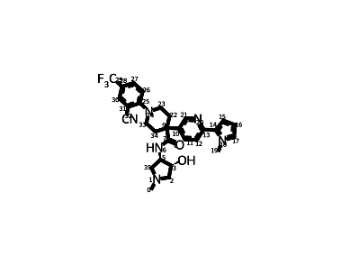 CN1C[C@@H](O)[C@H](NC(=O)C2(c3ccc(-c4cccn4C)nc3)CCN(c3ccc(C(F)(F)F)cc3C#N)CC2)C1